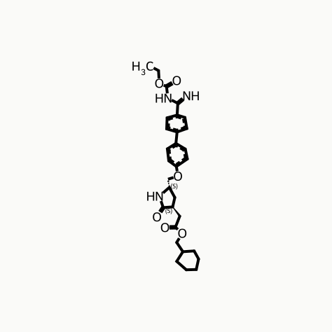 CCOC(=O)NC(=N)c1ccc(-c2ccc(OC[C@@H]3C[C@@H](CC(=O)OCC4CCCCC4)C(=O)N3)cc2)cc1